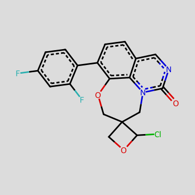 O=c1ncc2ccc(-c3ccc(F)cc3F)c3c2n1CC1(CO3)COC1Cl